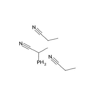 CC(P)C#N.CCC#N.CCC#N